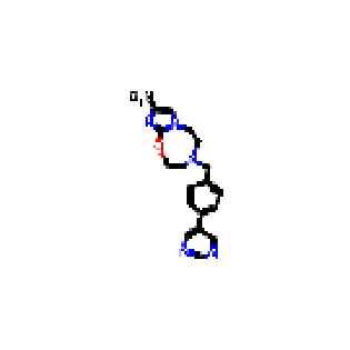 O=[N+]([O-])c1cn2c(n1)OCCN(Cc1ccc(-c3cncnc3)cc1)CC2